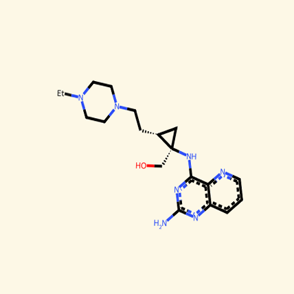 CCN1CCN(CC[C@@H]2C[C@@]2(CO)Nc2nc(N)nc3cccnc23)CC1